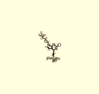 CC(C)[Si](C#Cc1nc(Cl)nc2c1ccn2COCC[Si](C)(C)C)(C(C)C)C(C)C